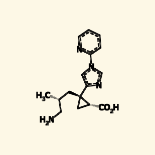 C[C@@H](CN)C[C@]1(c2cn(-c3ccccn3)cn2)C[C@H]1C(=O)O